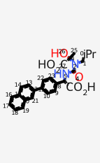 CC(C)CN(C(=O)NC(C(=O)O)c1ccc(-c2ccc3ccccc3c2)cc1)C(C)(O)C(=O)O